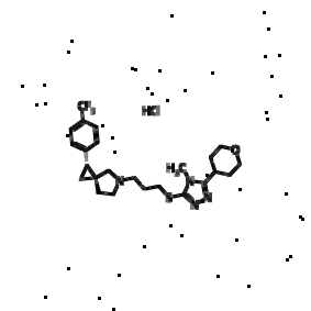 Cl.Cn1c(SCCCN2CC[C@]3(C[C@@H]3c3ccc(C(F)(F)F)cc3)C2)nnc1C1CCOCC1